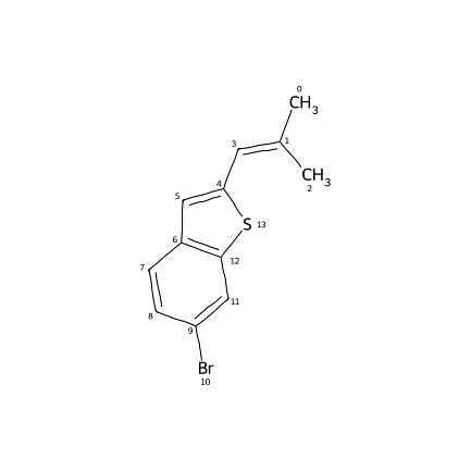 CC(C)=Cc1cc2ccc(Br)cc2s1